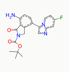 CC(C)(C)OC(=O)N1Cc2c(-c3cnc4cc(F)ccn34)ccc(N)c2C1=O